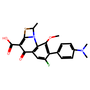 COc1c(-c2ccc(N(C)C)cc2)c(F)cc2c(=O)c(C(=O)O)c3n(c12)C(C)S3